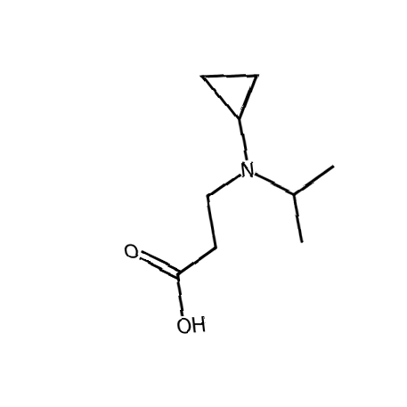 CC(C)N(CCC(=O)O)C1CC1